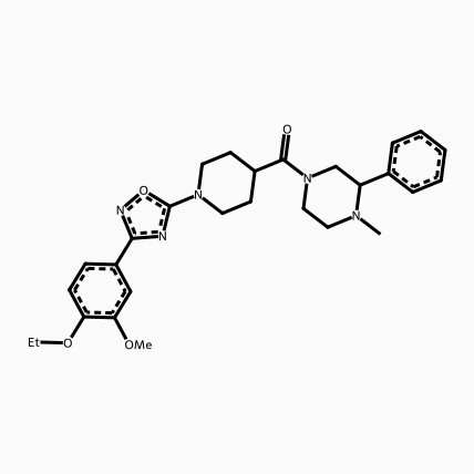 CCOc1ccc(-c2noc(N3CCC(C(=O)N4CCN(C)C(c5ccccc5)C4)CC3)n2)cc1OC